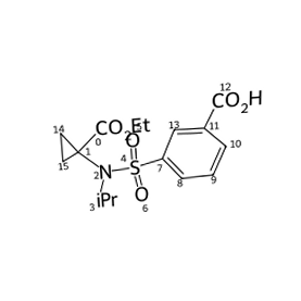 CCOC(=O)C1(N(C(C)C)S(=O)(=O)c2cccc(C(=O)O)c2)CC1